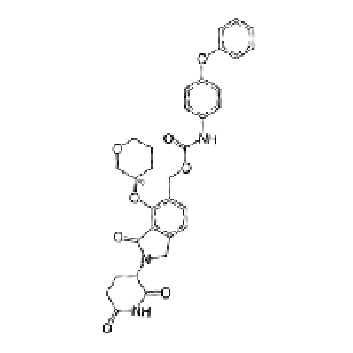 O=C1CCC(N2Cc3ccc(COC(=O)Nc4ccc(Oc5ccccc5)cc4)c(O[C@@H]4CCCOC4)c3C2=O)C(=O)N1